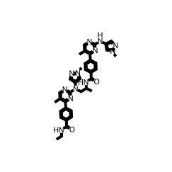 CCNC(=O)c1ccc(-c2nc(N(CC(C)NC(=O)c3ccc(-c4nc(Nc5cnn(C)c5)ncc4C)cc3)c3cnn(C)c3)ncc2C)cc1